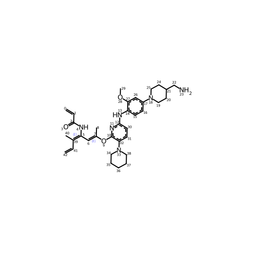 C=CC(=O)NC(/C=C(\C)Oc1nc(Nc2ccc(N3CCC(CN)CC3)cc2OC)ccc1N1CCCCC1)=C(\C)C=C